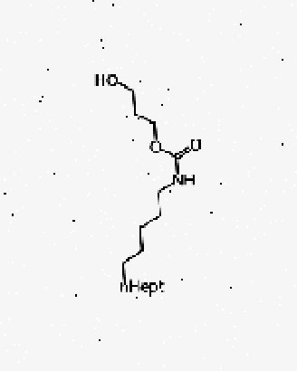 CCCCCCCCCCCCNC(=O)OCCCO